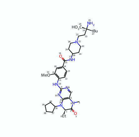 CC[C@@H]1C(=O)N(C)c2cnc(Nc3ccc(C(=O)NC4CCN(CC[C@@](N)(C(=O)O)C(C)(C)C)CC4)cc3OC)nc2N1C1CCCC1